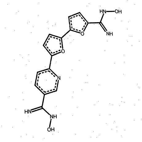 N=C(NO)c1ccc(-c2ccc(-c3ccc(C(=N)NO)o3)o2)nc1